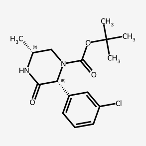 C[C@@H]1CN(C(=O)OC(C)(C)C)[C@H](c2cccc(Cl)c2)C(=O)N1